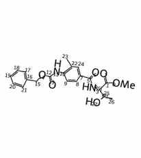 COC(=O)[C@@H](NC(=O)c1ccc(NC(=O)OCc2ccccc2)c(C)c1)[C@@H](C)O